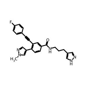 Cn1cc(-c2ccc(C(=O)NCCCc3cn[nH]c3)cc2C#Cc2ccc(F)cc2)cn1